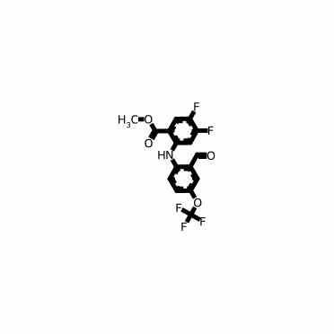 COC(=O)c1cc(F)c(F)cc1Nc1ccc(OC(F)(F)F)cc1C=O